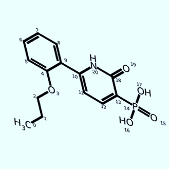 CCCOc1ccccc1-c1ccc(P(=O)(O)O)c(=O)[nH]1